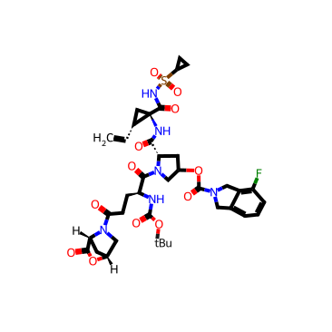 C=C[C@@H]1C[C@]1(NC(=O)[C@@H]1CC(OC(=O)N2Cc3cccc(F)c3C2)CN1C(=O)[C@H](CCC(=O)N1C[C@H]2C[C@@H]1C(=O)O2)NC(=O)OC(C)(C)C)C(=O)NS(=O)(=O)C1CC1